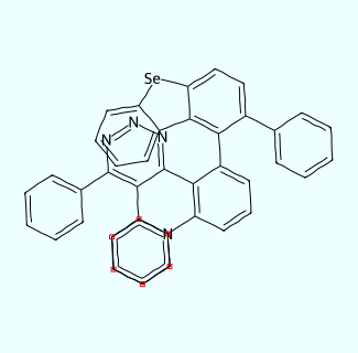 c1ccc(-c2cccc(-c3c(-c4ccccc4)ccc4[se]c5ccccc5c34)c2-c2nnnc(-c3ccccc3)c2-c2ccccn2)cc1